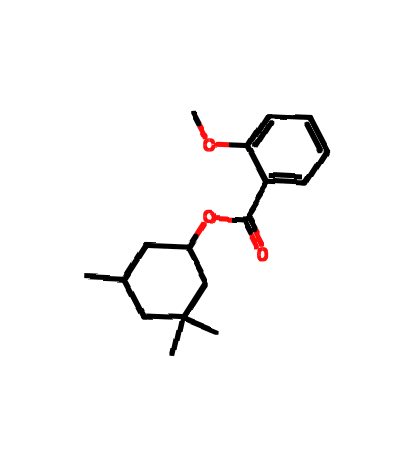 COc1ccccc1C(=O)OC1CC(C)CC(C)(C)C1